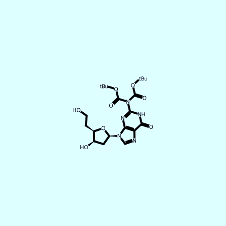 CC(C)(C)OC(=O)N(C(=O)OC(C)(C)C)c1nc2c(ncn2[C@H]2C[C@@H](O)[C@@H](CCO)O2)c(=O)[nH]1